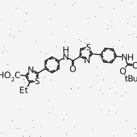 CCc1sc(-c2ccc(NC(=O)c3csc(-c4ccc(NC(=O)OC(C)(C)C)cc4)n3)cc2)nc1C(=O)O